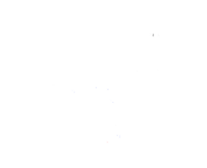 CC(=O)Nc1cccc(-c2cccc(C[C@H](CC(=O)NO)n3cc(CNC(=O)c4ccc(F)cc4)nn3)c2)c1